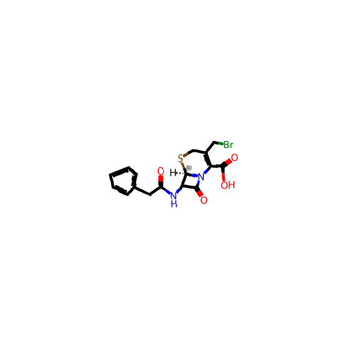 O=C(Cc1ccccc1)NC1C(=O)N2C(C(=O)O)=C(CBr)CS[C@H]12